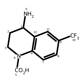 NC1CCN(C(=O)O)c2ccc(C(F)(F)F)cc21